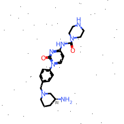 N[C@H]1CCCN(Cc2ccc(-n3ccc(NC(=O)N4CCNCC4)nc3=O)cc2)C1